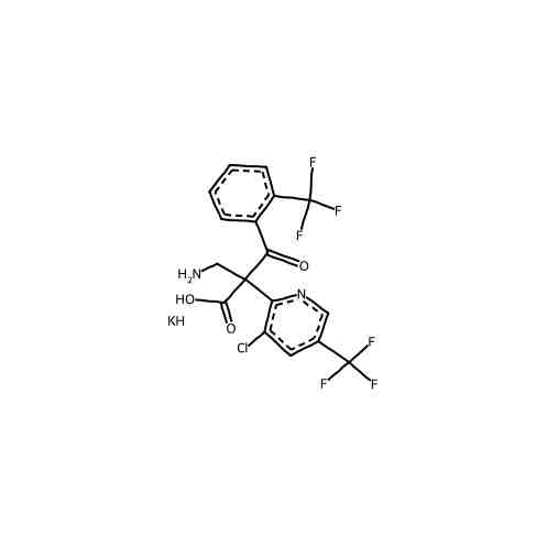 NCC(C(=O)O)(C(=O)c1ccccc1C(F)(F)F)c1ncc(C(F)(F)F)cc1Cl.[KH]